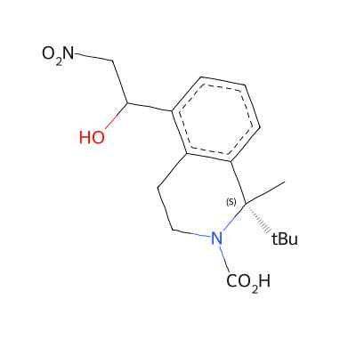 CC(C)(C)[C@@]1(C)c2cccc(C(O)C[N+](=O)[O-])c2CCN1C(=O)O